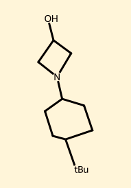 CC(C)(C)C1CCC(N2CC(O)C2)CC1